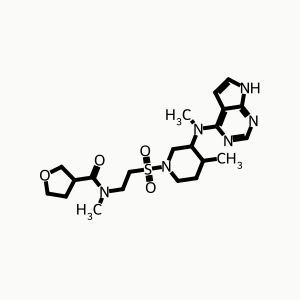 CC1CCN(S(=O)(=O)CCN(C)C(=O)C2CCOC2)CC1N(C)c1ncnc2[nH]ccc12